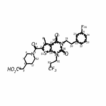 Cc1c(C(=O)N2CCC(CC(=O)O)CC2)sc2c1c(=O)n(CCc1cccc(F)c1)c(=O)n2CCC(F)(F)F